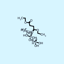 CC.CC.CCOC(=O)CCC(=O)OCC.OP(O)(O)=S.OP(O)(O)=S